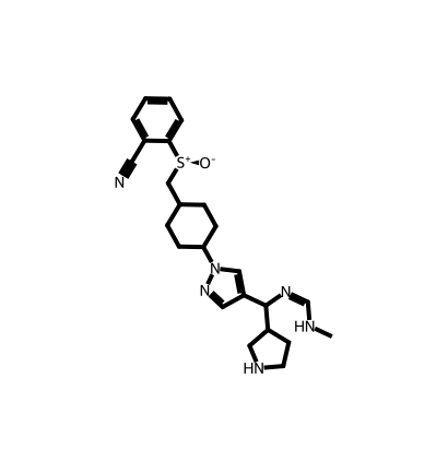 CN/C=N\C(c1cnn(C2CCC(C[S@+]([O-])c3ccccc3C#N)CC2)c1)C1CCNC1